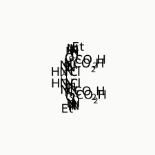 CCn1nnc([C@@H]2O[C@@H](n3cnc4c(N[C@H]5CC[C@H](Nc6nc(Cl)nc7c6ncn7[C@@H]6O[C@@H](c7nnn(CC)n7)[C@H](CC(=O)O)[C@H]6CC(=O)O)CC5)nc(Cl)nc43)[C@H](CC(=O)O)[C@H]2CC(=O)O)n1